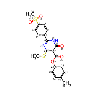 CSc1nc(-c2ccc(S(C)(=O)=O)cc2)[nH]c(=O)c1C(=O)Oc1ccc(C)cc1